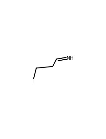 N=CCCI